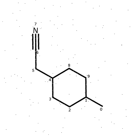 CC1CCC(CC#N)CC1